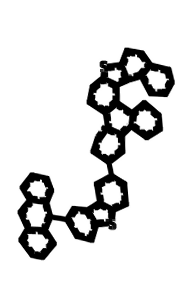 c1ccc2c(-c3ccc4sc5ccc(-c6ccc7c(c6)c6ccccc6c6c7ccc7sc8ccc9ccccc9c8c76)cc5c4c3)c3ccccc3cc2c1